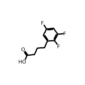 O=C(O)CCCc1cc(F)cc(F)c1F